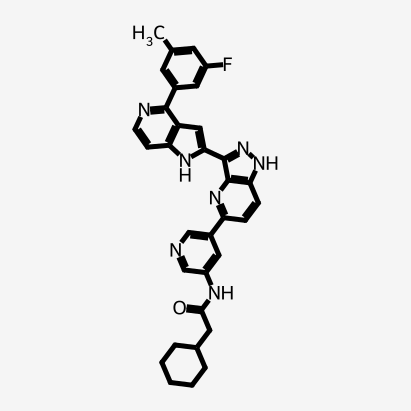 Cc1cc(F)cc(-c2nccc3[nH]c(-c4n[nH]c5ccc(-c6cncc(NC(=O)CC7CCCCC7)c6)nc45)cc23)c1